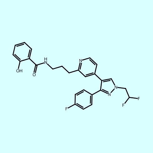 O=C(NCCCc1cc(-c2cn(CC(F)F)nc2-c2ccc(F)cc2)ccn1)c1ccccc1O